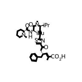 CC[C@H](C)[C@H](NC(=O)[C@H]1CCCCN1C)C(=O)N(C)[C@H](C#Cc1nc(C(=O)C[C@H](/C=C(\C)C(=O)O)Cc2ccccc2)cs1)C(C)C